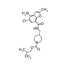 Cc1cc2c(N)c(Cl)cc(C(=O)NCC3CCN(C(=O)OCC(C)C)CC3)c2o1